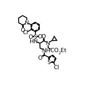 CCOC(=O)CN(C(=O)C(CNC(=O)c1ccc(Cl)s1)NS(=O)(=O)c1cccc(N2CCCCC2=O)c1Cl)C1CC1